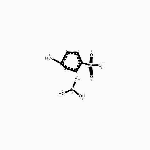 Nc1ccc(S(=O)(=O)O)cc1.OB(O)O